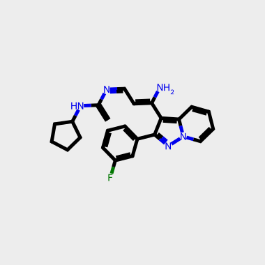 C=C(/N=C\C=C(/N)c1c(-c2cccc(F)c2)nn2ccccc12)NC1CCCC1